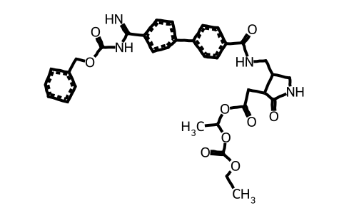 CCOC(=O)OC(C)OC(=O)CC1C(=O)NCC1CNC(=O)c1ccc(-c2ccc(C(=N)NC(=O)OCc3ccccc3)cc2)cc1